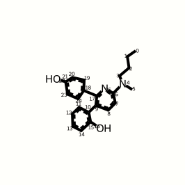 CCCCN(C)c1ccc(-c2ccccc2O)c(-c2ccc(O)cc2)n1